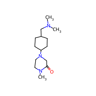 CN(C)CC1CCC(N2CCN(C)C(=O)C2)CC1